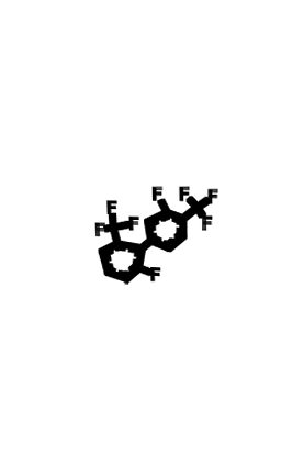 Fc1[c]ccc(C(F)(F)F)c1-c1ccc(C(F)(F)F)c(F)c1